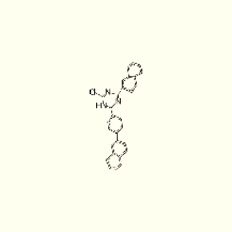 ClC1=NC(c2ccc3ccccc3c2)=NC(c2ccc(-c3ccc4ccccc4c3)cc2)N1